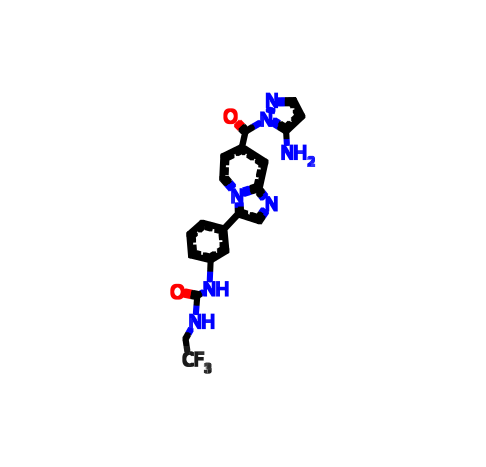 Nc1ccnn1C(=O)c1ccn2c(-c3cccc(NC(=O)NCC(F)(F)F)c3)cnc2c1